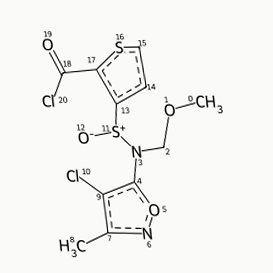 COCN(c1onc(C)c1Cl)[S+]([O-])c1ccsc1C(=O)Cl